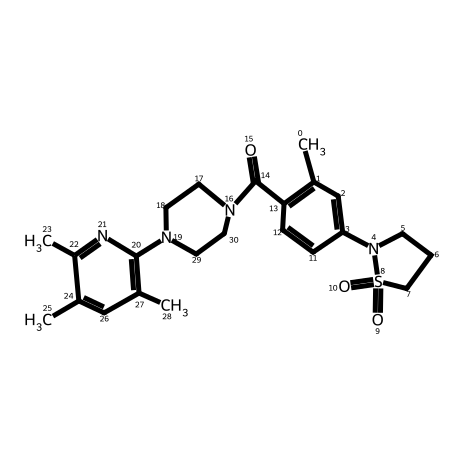 Cc1cc(N2CCCS2(=O)=O)ccc1C(=O)N1CCN(c2nc(C)c(C)cc2C)CC1